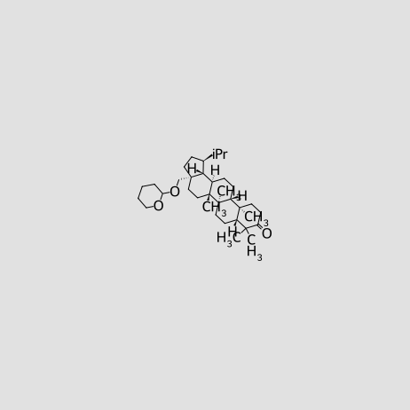 CC(C)[C@@H]1CC[C@]2(COC3CCCCO3)CC[C@]3(C)[C@H](CC[C@@H]4[C@@]5(C)CCC(=O)C(C)(C)[C@@H]5CC[C@]43C)[C@@H]12